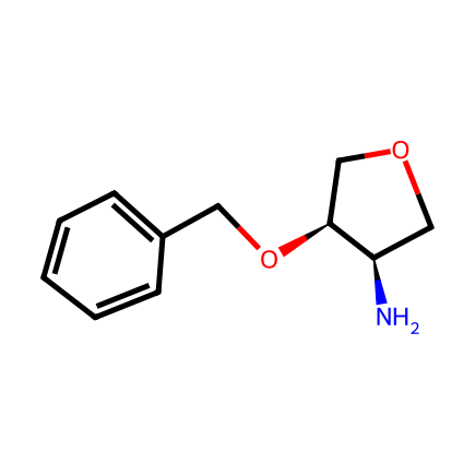 N[C@@H]1COC[C@@H]1OCc1ccccc1